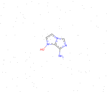 Nc1ncn2ccn(O)c12